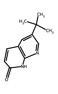 CC(C)(C)c1cnc2[nH]c(=O)ccc2c1